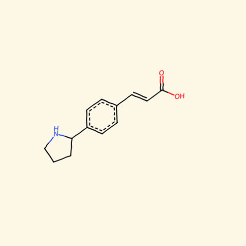 O=C(O)C=Cc1ccc(C2CCCN2)cc1